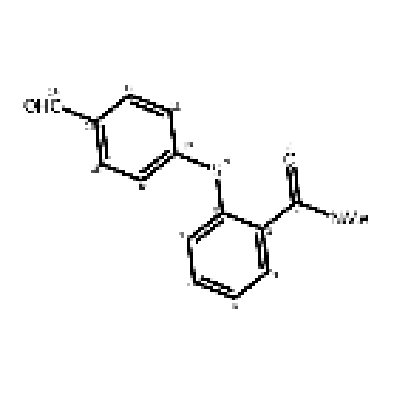 CNC(=O)c1ccccc1Sc1ccc(C=O)cc1